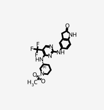 CS(=O)(=O)N1CCC[C@@H](Nc2nc(Nc3ccc4c(c3)CC(=O)N4)ncc2C(F)(F)F)C1